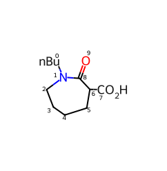 CCCCN1CCCCC(C(=O)O)C1=O